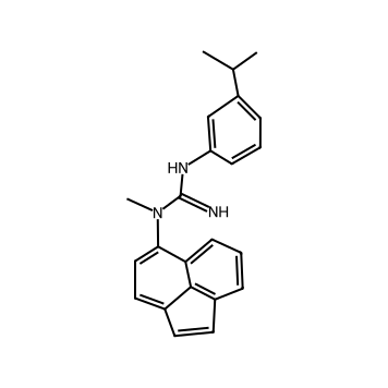 CC(C)c1cccc(NC(=N)N(C)c2ccc3c4c(cccc24)C=C3)c1